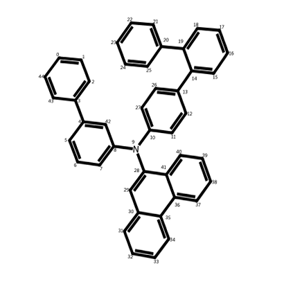 c1ccc(-c2cccc(N(c3ccc(-c4ccccc4-c4ccccc4)cc3)c3cc4ccccc4c4ccccc34)c2)cc1